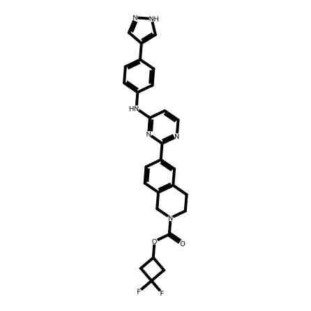 O=C(OC1CC(F)(F)C1)N1CCc2cc(-c3nccc(Nc4ccc(-c5cn[nH]c5)cc4)n3)ccc2C1